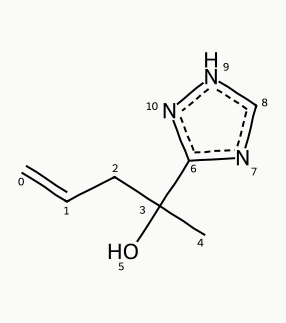 C=CCC(C)(O)c1nc[nH]n1